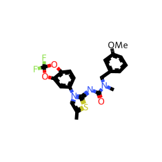 COc1cccc(CN(C)C(=O)N=c2sc(C)cn2-c2ccc3c(c2)OC(F)(F)O3)c1